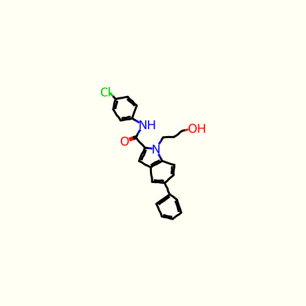 O=C(Nc1ccc(Cl)cc1)c1cc2cc(-c3ccccc3)ccc2n1CCCO